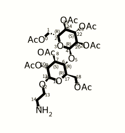 CC(=O)OC[C@H]1O[C@H](O[C@H]2[C@H](OC(C)=O)[C@@H](OC(C)=O)[C@H](OCCN)O[C@@H]2COC(C)=O)[C@H](OC(C)=O)[C@@H](OC(C)=O)[C@@H]1OC(C)=O